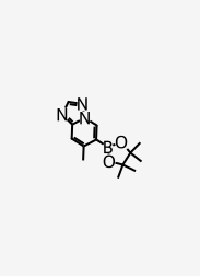 Cc1cc2ncnn2cc1B1OC(C)(C)C(C)(C)O1